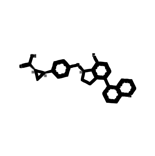 O=C(O)[C@H]1C[C@@H]1c1ccc(O[C@@H]2CCc3c(-c4cccc5ncccc45)ccc(F)c32)cc1